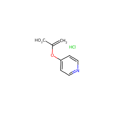 C=C(Oc1ccncc1)C(=O)O.Cl